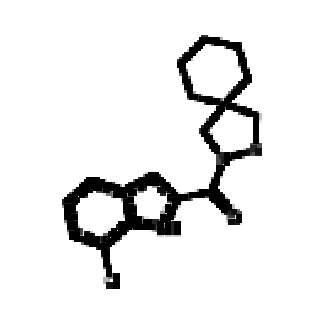 O=C(c1cc2cccc(Cl)c2[nH]1)N1CC2(CCCCC2)CS1